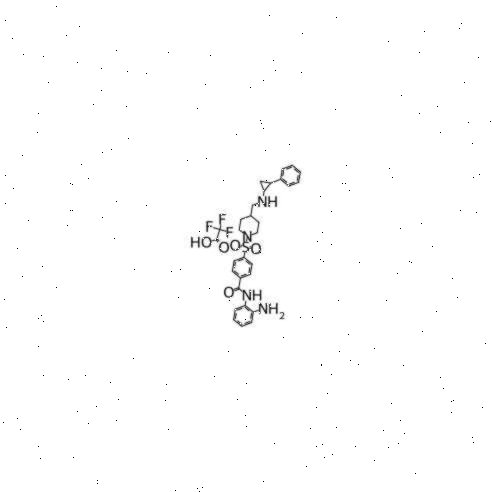 Nc1ccccc1NC(=O)c1ccc(S(=O)(=O)N2CCC(CNC3CC3c3ccccc3)CC2)cc1.O=C(O)C(F)(F)F